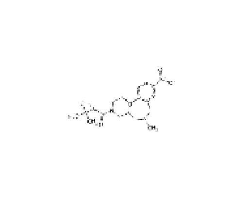 CN1Cc2cc([N+](=O)[O-])ccc2N2CCN(C(=O)OC(C)(C)C)CC2C1